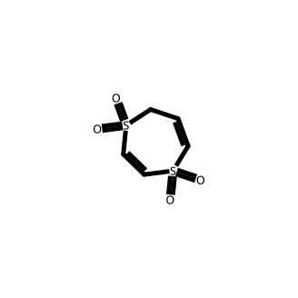 O=S1(=O)C=CCS(=O)(=O)C=C1